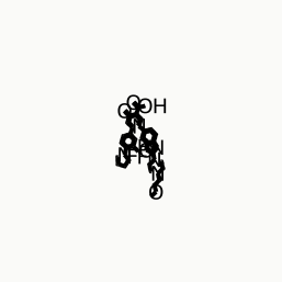 COCCN1CCN(c2nc3ccc(-n4cc(C(=O)O)c(=O)cc4-c4ccc(N5CCCC5)c(C(F)(F)F)c4)cc3o2)CC1